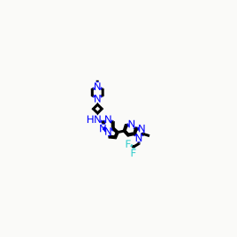 Cc1nc2ncc(-c3ccn4nc(N[C@H]5C[C@@H](N6CCN(C)CC6)C5)ncc34)cc2n1CC(F)F